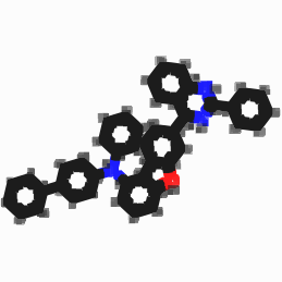 c1ccc(-c2ccc(N(c3ccccc3)c3cccc4oc5cc(-c6nc(-c7ccccc7)nc7ccccc67)ccc5c34)cc2)cc1